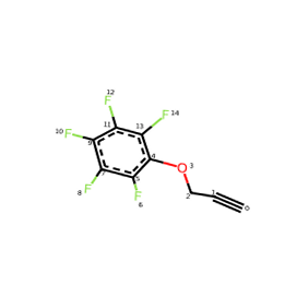 C#CCOc1c(F)c(F)c(F)c(F)c1F